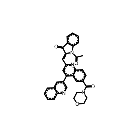 CC(=O)N1/C(=C\c2cc(-c3cnc4ccccc4c3)c3cc(C(=O)N4CCOCC4)ccc3n2)C(=O)c2ccccc21